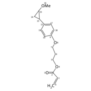 C=CC(=O)OCCCOc1ccc(C2CC2OC)cc1